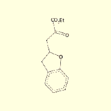 CCOC(=O)C(=O)CC1Cc2ccccc2O1